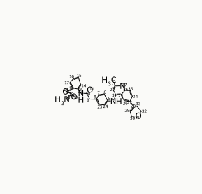 Cc1cc(Nc2ccc(CC(=O)Nc3ccccc3S(N)(=O)=O)cc2)c2cc(C3=CCOCC3)ccc2n1